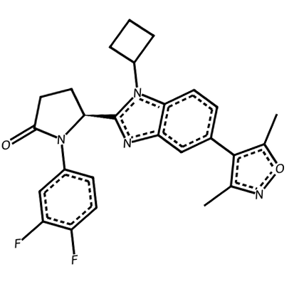 Cc1noc(C)c1-c1ccc2c(c1)nc([C@@H]1CCC(=O)N1c1ccc(F)c(F)c1)n2C1CCC1